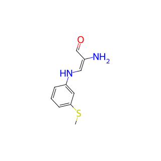 CSc1cccc(N/C=C(/N)C=O)c1